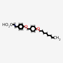 C=CCCCCCCOC1CCC(COc2ccc(/C=C/C(=O)O)cc2)CC1